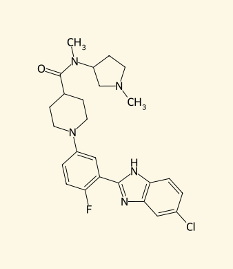 CN1CCC(N(C)C(=O)C2CCN(c3ccc(F)c(-c4nc5cc(Cl)ccc5[nH]4)c3)CC2)C1